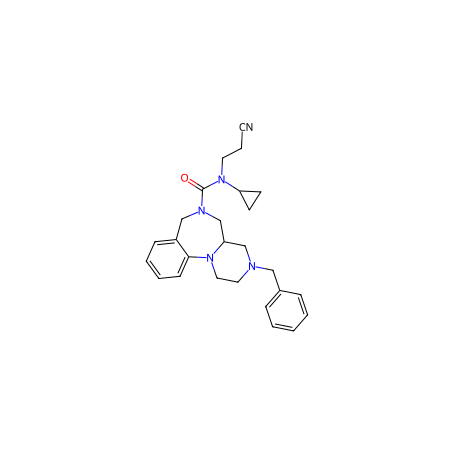 N#CCCN(C(=O)N1Cc2ccccc2N2CCN(Cc3ccccc3)CC2C1)C1CC1